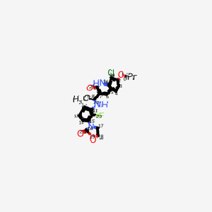 CC(C)Oc1ccc2cc([C@H](C)Nc3cccc(N4CCOC4=O)c3F)c(=O)[nH]c2c1Cl